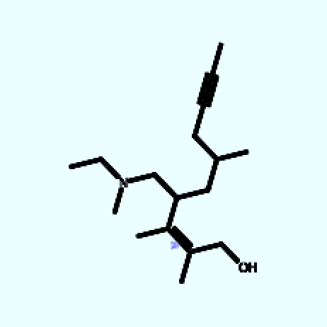 CC#CCC(C)CC(CN(C)CC)/C(C)=C(/C)CO